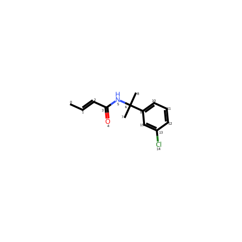 C/C=C/C(=O)NC(C)(C)c1cccc(Cl)c1